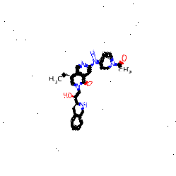 CC[C@H]1CN(C[C@H](O)[C@@H]2Cc3ccccc3CN2)C(=O)c2cc(NC3CCN(C(C)=O)CC3)ncc21